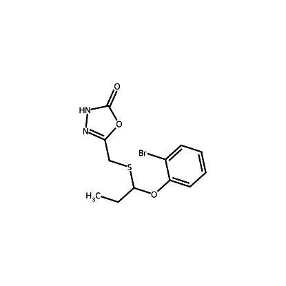 CCC(Oc1ccccc1Br)SCc1n[nH]c(=O)o1